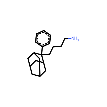 NCCCCC1(c2ccccc2)C2CC3CC(C2)CC1C3